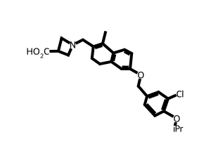 CC1=C(CN2CC(C(=O)O)C2)CCc2cc(OCc3ccc(OC(C)C)c(Cl)c3)ccc21